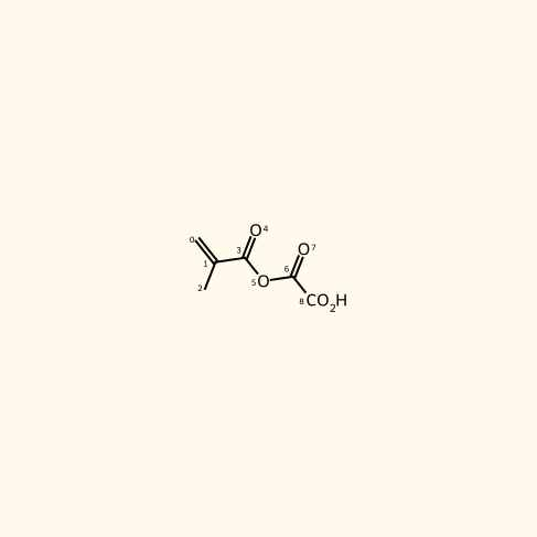 C=C(C)C(=O)OC(=O)C(=O)O